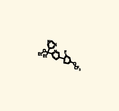 CCOC(CC)(c1cncnc1)c1ccc(-c2ccc(OC(F)(F)F)cc2F)cn1